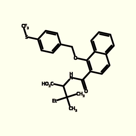 CCC(C)(C)C(NC(=O)c1ccc2ccccc2c1OCc1ccc(SC(F)(F)F)cc1)C(=O)O